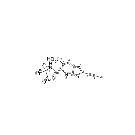 CC#Cc1cc2cc(C(=O)O)c(C3=NC(=O)C(C)(C(C)C)N3)nc2s1